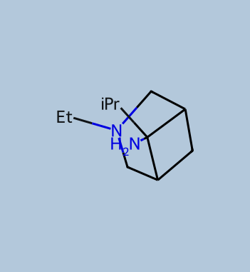 CCN1CC2CC(C1)C2(N)C(C)C